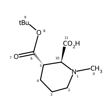 CN1CCC[C@H](C(=O)OC(C)(C)C)[C@H]1C(=O)O